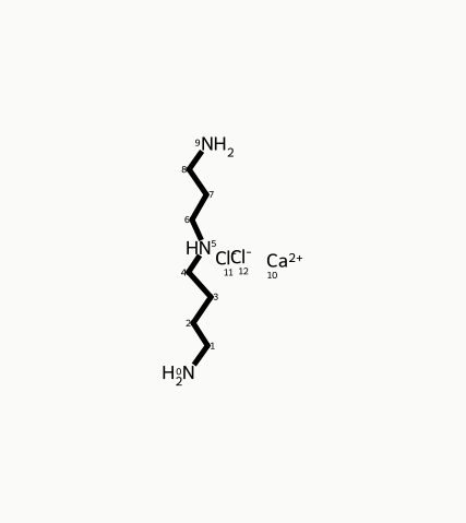 NCCCCNCCCN.[Ca+2].[Cl-].[Cl-]